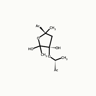 CC(=O)[C@@H](C)O[C@]1(O)C[C@](C)(C(C)=O)OC1(C)O